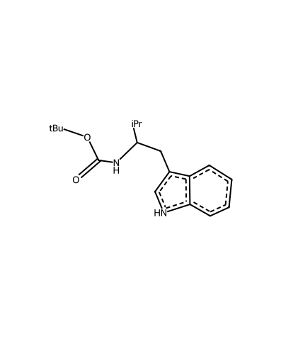 CC(C)C(Cc1c[nH]c2ccccc12)NC(=O)OC(C)(C)C